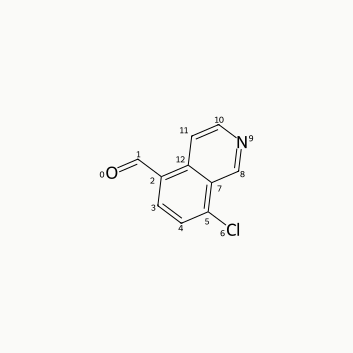 O=Cc1ccc(Cl)c2cnccc12